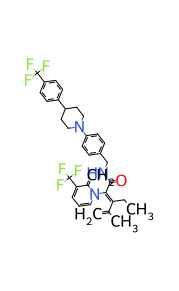 C=C(C)/C(CC)=C(/C(=O)NCc1ccc(N2CCC(c3ccc(C(F)(F)F)cc3)CC2)cc1)N1C=CC=C(C(F)(F)F)C1=C